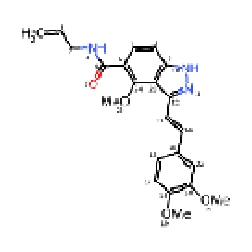 C=CCNC(=O)c1ccc2[nH]nc(C=Cc3ccc(OC)c(OC)c3)c2c1OC